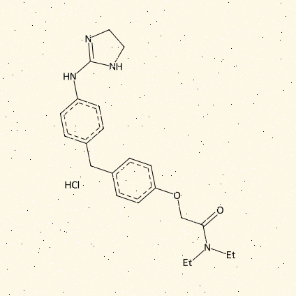 CCN(CC)C(=O)COc1ccc(Cc2ccc(NC3=NCCN3)cc2)cc1.Cl